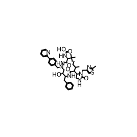 CCC(C)C(C(=O)NC(Cc1ccccc1)C(O)CN(Cc1ccc(-c2ccccn2)cc1)NC(=O)C(NC(=O)O)C(C)(C)C)C1CNC(=O)N1Cc1csc(C)n1